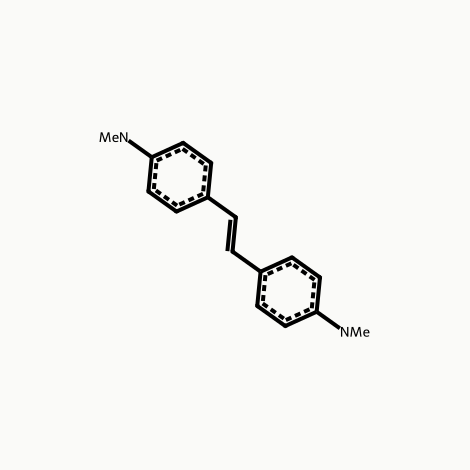 CNc1ccc(C=Cc2ccc(NC)cc2)cc1